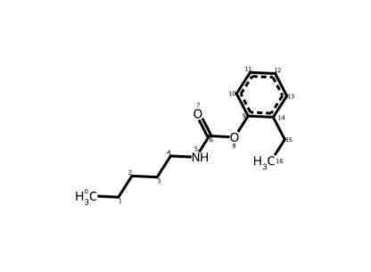 CCCCCNC(=O)Oc1ccccc1CC